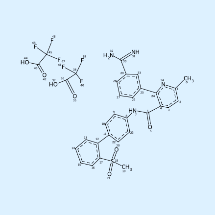 Cc1ccc(C(=O)Nc2ccc(-c3ccccc3S(C)(=O)=O)cc2)c(-c2cccc(C(=N)N)c2)n1.O=C(O)C(F)(F)F.O=C(O)C(F)(F)F